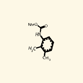 [CH2]OC(=O)Nc1cccc(C)c1C